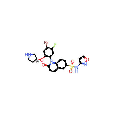 O=c1ccc2cc(S(=O)(=O)Nc3ccon3)ccc2n1-c1cc(F)c(Br)cc1O[C@H]1CCNC1